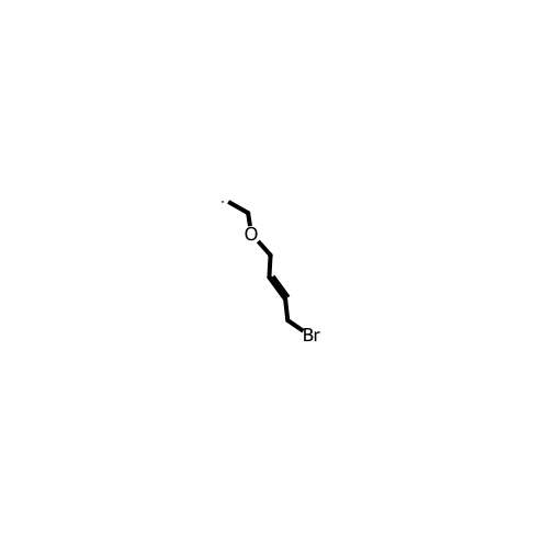 [CH2]COCC=CCBr